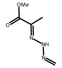 C=NN/N=C(\C)C(=O)OC